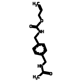 C=CCOC(=O)NCc1ccc(CNC(C)=O)cc1